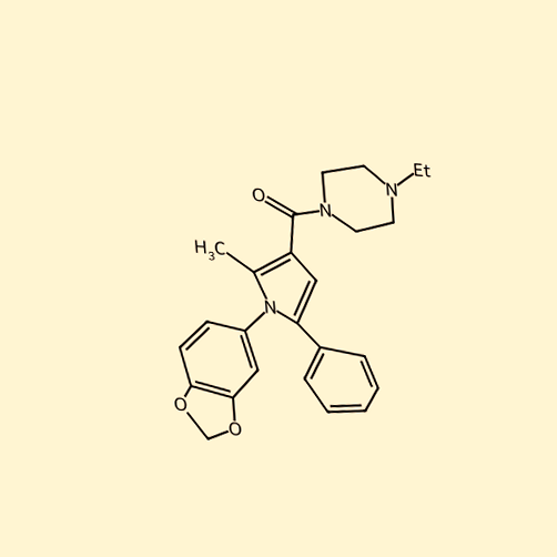 CCN1CCN(C(=O)c2cc(-c3ccccc3)n(-c3ccc4c(c3)OCO4)c2C)CC1